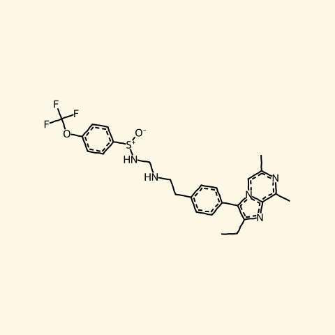 CCc1nc2c(C)nc(C)cn2c1-c1ccc(CCNCN[S+]([O-])c2ccc(OC(F)(F)F)cc2)cc1